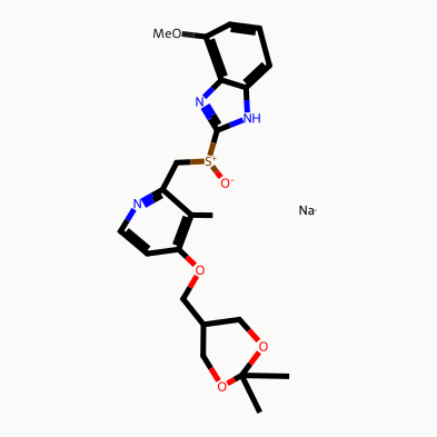 COc1cccc2[nH]c([S+]([O-])Cc3nccc(OCC4COC(C)(C)OC4)c3C)nc12.[Na]